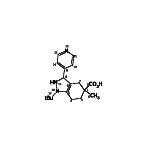 CC1(C(=O)O)CCC2=C(C1)C(c1ccncc1)NN2C(C)(C)C